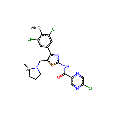 COc1c(Cl)cc(-c2nc(NC(=O)c3cnc(Cl)cn3)sc2CN2CCC[C@H]2C)cc1Cl